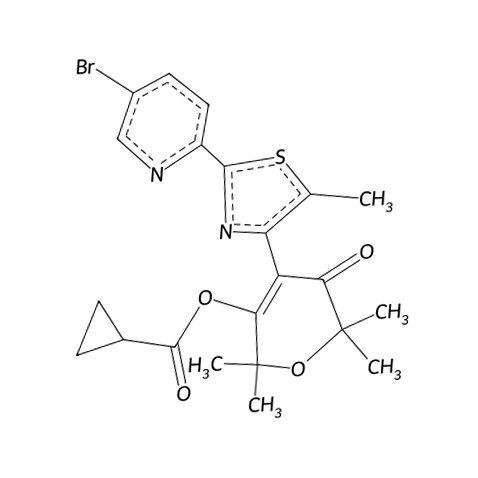 Cc1sc(-c2ccc(Br)cn2)nc1C1=C(OC(=O)C2CC2)C(C)(C)OC(C)(C)C1=O